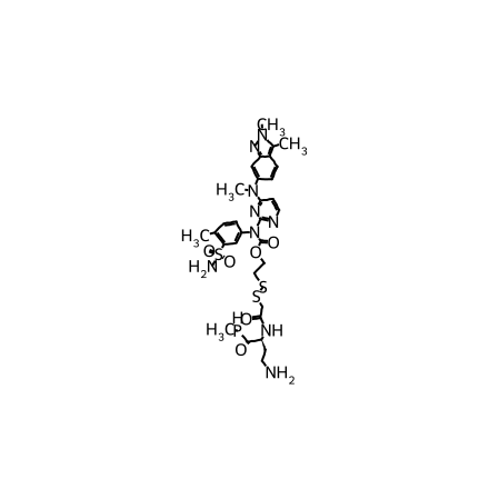 CPC(=O)[C@H](CCN)NC(=O)CSSCCOC(=O)N(c1ccc(C)c(S(N)(=O)=O)c1)c1nccc(N(C)c2ccc3c(C)n(C)nc3c2)n1